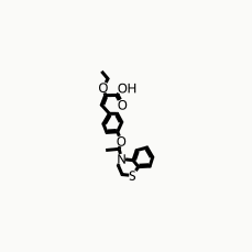 CCO/C(=C/c1ccc(OC(C)N2CCSc3ccccc32)cc1)C(=O)O